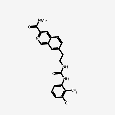 CNC(=O)c1cc2ccc(CCNC(=O)Nc3cccc(Cl)c3C(F)(F)F)cc2cn1